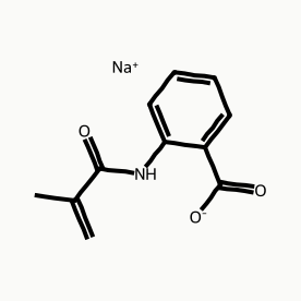 C=C(C)C(=O)Nc1ccccc1C(=O)[O-].[Na+]